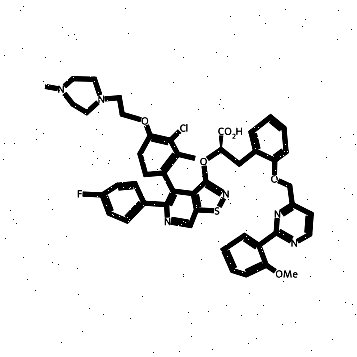 COc1ccccc1-c1nccc(COc2ccccc2C[C@@H](Oc2nsc3cnc(-c4ccc(F)cc4)c(C4=C(C)C(Cl)=C(OCCN5CCN(C)CC5)CC4)c23)C(=O)O)n1